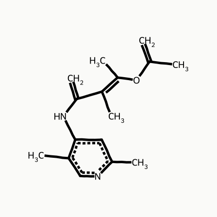 C=C(C)O/C(C)=C(\C)C(=C)Nc1cc(C)ncc1C